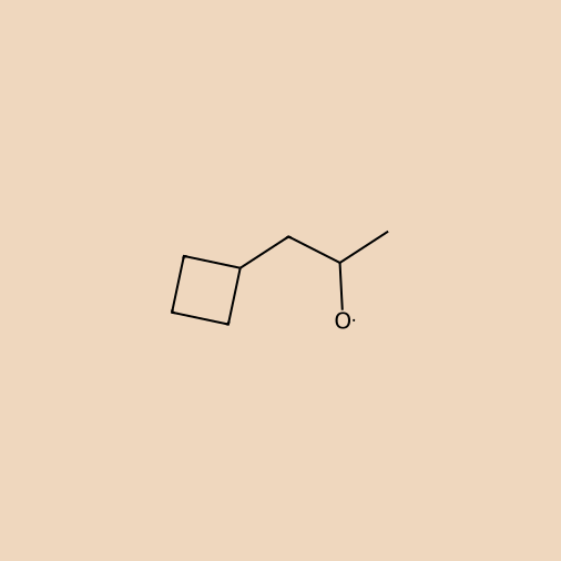 CC([O])CC1CCC1